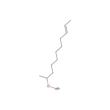 CC=CCCCCCCC(C)OCCC